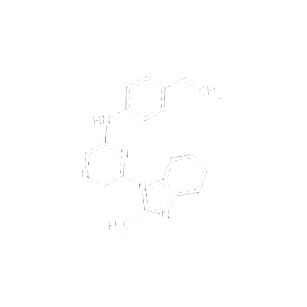 C=Cc1ccc(Nc2cncc(-n3c(C)nc4ccccc43)n2)cc1